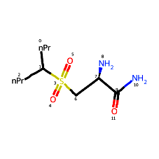 CCCC(CCC)S(=O)(=O)C[C@@H](N)C(N)=O